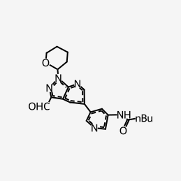 CCCCC(=O)Nc1cncc(-c2cnc3c(c2)c(C=O)nn3C2CCCCO2)c1